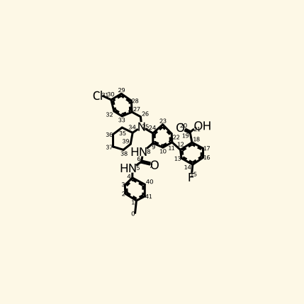 Cc1ccc(NC(=O)Nc2cc(-c3cc(F)ccc3C(=O)O)ccc2N(Cc2ccc(Cl)cc2)C2CCCCC2)cc1